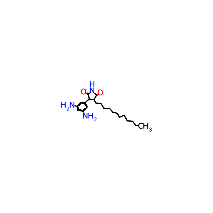 CCCCCCCCCCCCC1C(=O)NC(=O)C1c1cc(N)cc(N)c1